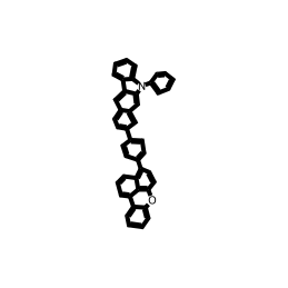 c1ccc(-n2c3ccccc3c3cc4ccc(-c5ccc(-c6ccc7c8c(cccc68)-c6ccccc6O7)cc5)cc4cc32)cc1